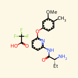 CC[C@@H](N)C(=O)Nc1cccc(Oc2ccc(C)c(OC)c2)n1.O=C(O)C(F)(F)F